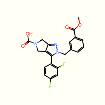 COC(=O)c1cccc(Cn2nc3c(c2-c2ccc(F)cc2F)CN(C(=O)O)C3)c1